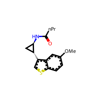 CCCC(=O)N[C@@H]1C[C@H]1c1csc2ccc(OC)cc12